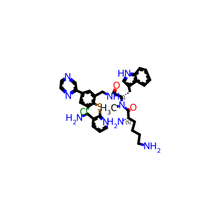 CN(C(=O)[C@@H](N)CCCCN)[C@@H](Cc1c[nH]c2ccccc12)C(=O)NCc1cc(-c2cnccn2)cc(Cl)c1Sc1ncccc1CN